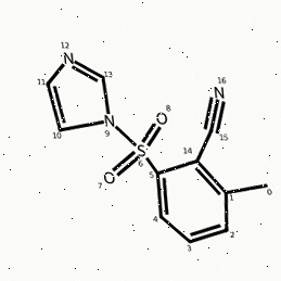 Cc1cccc(S(=O)(=O)n2ccnc2)c1C#N